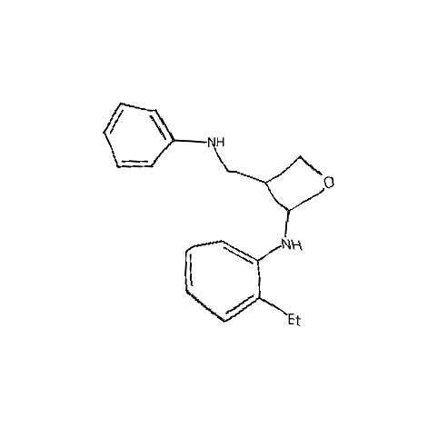 CCc1ccccc1NC1OCC1CNc1ccccc1